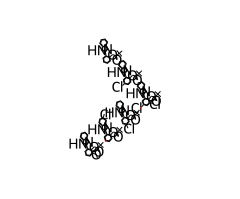 CC(C)(C)C(=O)Oc1c(Cl)cc(Cl)cc1-c1nc2ccccc2[nH]1.CC(C)(C)C(=O)Oc1cc(Cl)ccc1-c1nc2ccccc2[nH]1.CC(C)(C)C(=O)Oc1ccc(Cl)cc1-c1nc2ccccc2[nH]1.CC(C)(C)C(=O)Oc1ccccc1-c1nc2cc(Cl)ccc2[nH]1.CC(C)(C)C(=O)Oc1ccccc1-c1nc2ccccc2[nH]1.COc1cccc(-c2nc3ccccc3[nH]2)c1OC(=O)C(C)(C)C